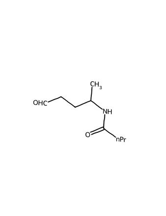 CCCC(=O)NC(C)CCC=O